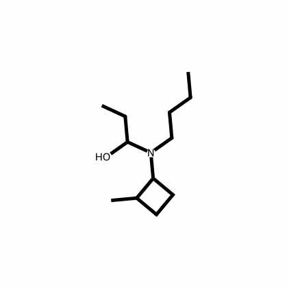 CCCCN(C(O)CC)C1CCC1C